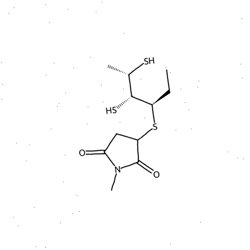 CC[C@@H](SC1CC(=O)N(C)C1=O)[C@H](S)[C@H](C)S